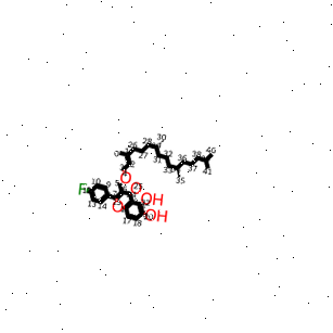 C/C(=C\COCc1c(-c2ccc(F)cc2)oc2ccc(O)c(O)c2c1=O)CCC[C@H](C)CCC[C@H](C)CCCC(C)C